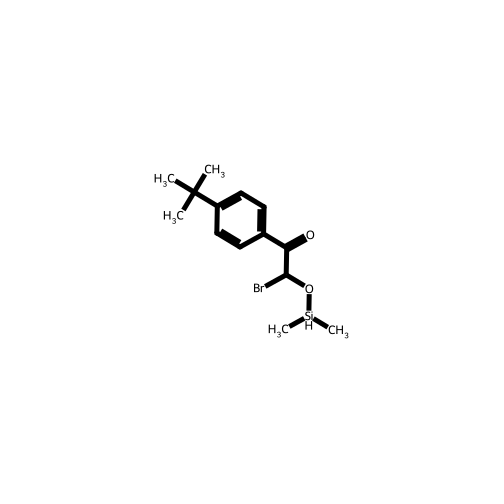 C[SiH](C)OC(Br)C(=O)c1ccc(C(C)(C)C)cc1